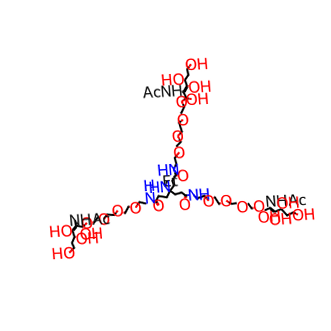 CCNC(CCC(=O)NCCOCCOCCOCCOC(O)/C(NC(C)=O)=C(/O)C(O)CCO)(CCC(=O)NCCOCCOCCOCCOC(O)/C(NC(C)=O)=C(\O)C(O)CCO)CCC(=O)NCCOCCOCCOCCOC(O)/C(NC(C)=O)=C(\O)C(O)CCO